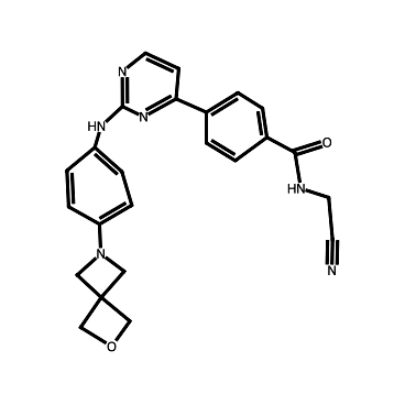 N#CCNC(=O)c1ccc(-c2ccnc(Nc3ccc(N4CC5(COC5)C4)cc3)n2)cc1